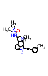 CCN(CC)C(=O)N[C@H]1CC2c3cccc4[nH]c(C#Cc5cccc(C)c5)c(c34)C[C@H]2N(C)C1